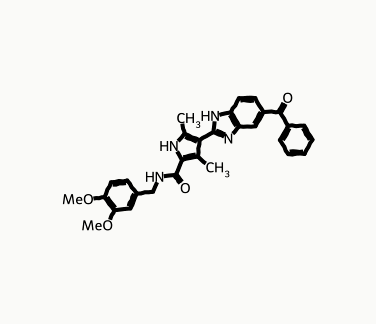 COc1ccc(CNC(=O)c2[nH]c(C)c(-c3nc4cc(C(=O)c5ccccc5)ccc4[nH]3)c2C)cc1OC